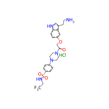 Cl.NCCc1c[nH]c2ccc(OCC(=O)N3CCN(c4ccc(S(=O)(=O)NCC(F)(F)F)cc4)CC3)cc12